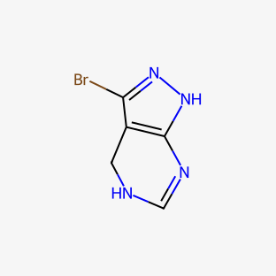 Brc1n[nH]c2c1CNC=N2